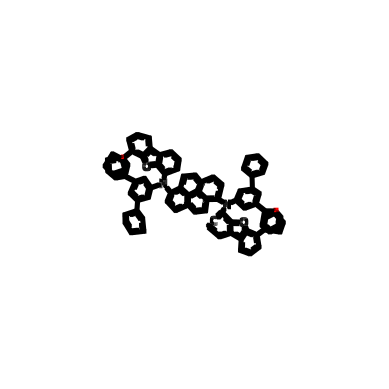 c1ccc(-c2cc(-c3ccccc3)cc(N(c3ccc4ccc5c(N(c6cc(-c7ccccc7)cc(-c7ccccc7)c6)c6cccc7c6oc6c(C8CCCC8)cccc67)ccc6ccc3c4c65)c3cccc4c3oc3c(C5CCCC5)cccc34)c2)cc1